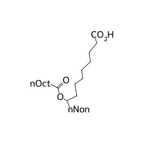 CCCCCCCCCC(CCCCCCCC(=O)O)OC(=O)CCCCCCCC